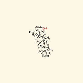 CN[C@@H](C)C1[C@H](O)C[C@@]2(C)[C@@H]3CC[C@H]4C(C)(C)[C@@H](NC)CC[C@@]45C[C@@]35CC[C@]12C